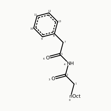 CCCCCCCCCC(=O)NC(=O)Cc1ccccc1